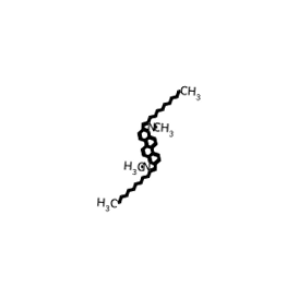 CCCCCCCCCCc1cc2ccc3c4ccc5c(ccc6cc(CCCCCCCCCC)n(C)c65)c4ccc3c2n1C